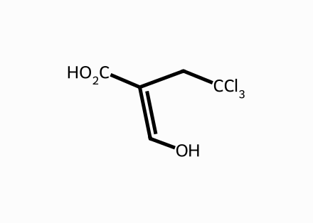 O=C(O)C(=CO)CC(Cl)(Cl)Cl